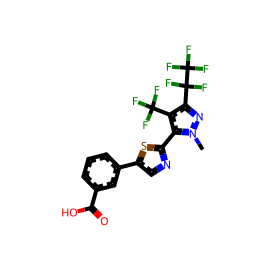 Cn1nc(C(F)(F)C(F)(F)F)c(C(F)(F)F)c1-c1ncc(-c2cccc(C(=O)O)c2)s1